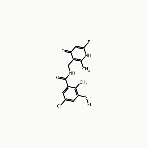 CCNc1cc(Cl)cc(C(=O)NCc2c(C)[nH]c(F)cc2=O)c1C